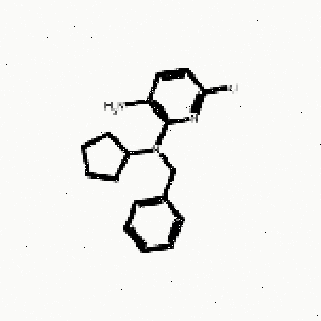 Nc1ccc(Cl)nc1N(Cc1ccccc1)C1CCCC1